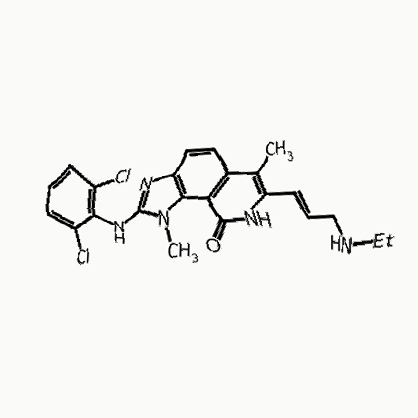 CCNC/C=C/c1[nH]c(=O)c2c(ccc3nc(Nc4c(Cl)cccc4Cl)n(C)c32)c1C